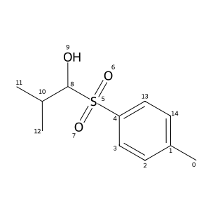 Cc1ccc(S(=O)(=O)C(O)C(C)C)cc1